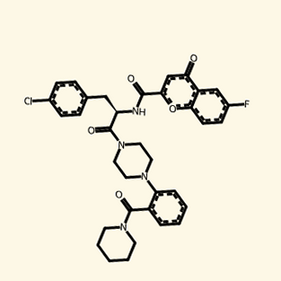 O=C(N[C@H](Cc1ccc(Cl)cc1)C(=O)N1CCN(c2ccccc2C(=O)N2CCCCC2)CC1)c1cc(=O)c2cc(F)ccc2o1